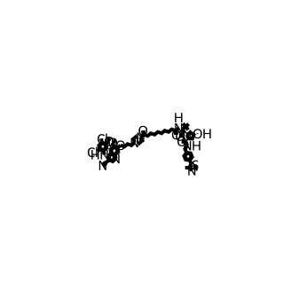 COc1cc(Nc2c(C#N)cnc3cc(OCCCN4CCN(C(=O)CCCCCCCCC(=O)NC(C(=O)N5C[C@H](O)C[C@H]5C(=O)NCc5ccc(-c6scnc6C)cc5)C(C)(C)C)CC4)c(OC)cc23)c(Cl)cc1Cl